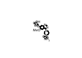 COc1cc2c(N3CCCN(S(N)(=O)=O)CC3)ncnc2cc1OCP(=O)(O)O